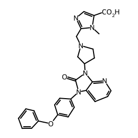 Cn1c(C(=O)O)cnc1CN1CCC(n2c(=O)n(-c3ccc(Oc4ccccc4)cc3)c3cccnc32)C1